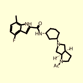 CC(=O)N1CC[C@@H]2CN([C@@H]3CCC[C@@H](NC(=O)c4cc5c(F)ccc(C)c5[nH]4)C3)C[C@@H]21